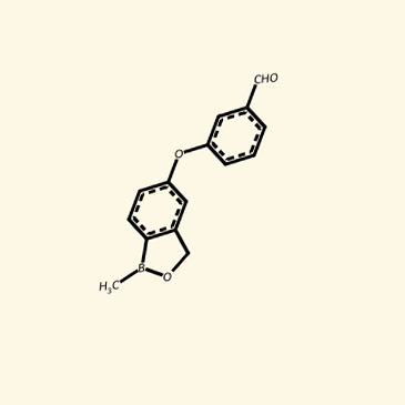 CB1OCc2cc(Oc3cccc(C=O)c3)ccc21